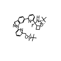 CC(C)(C)[S@@+]([O-])N[C@@](I)(c1cccc(-c2ccc3cnn(-c4cccc(CO[Si](C)(C)C(C)(C)C)n4)c3c2)n1)C1CCC1